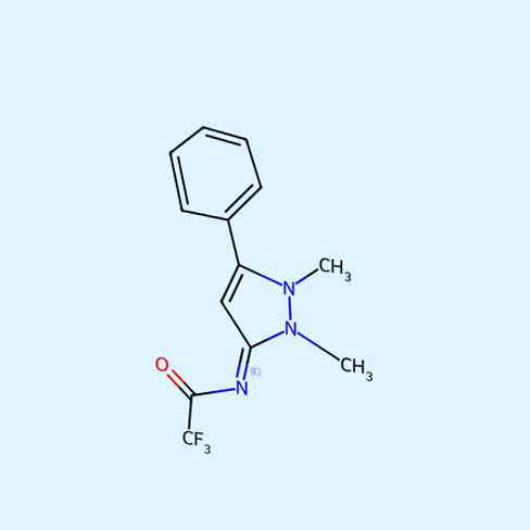 Cn1c(-c2ccccc2)c/c(=N\C(=O)C(F)(F)F)n1C